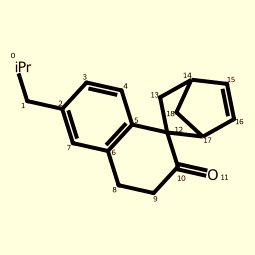 CC(C)Cc1ccc2c(c1)CCC(=O)C21CC2C=CC1C2